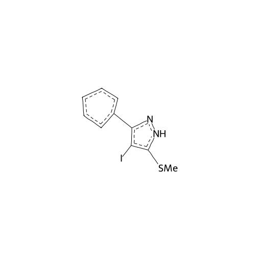 CSc1[nH]nc(-c2ccccc2)c1I